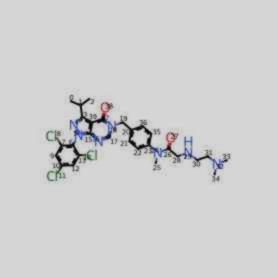 CC(C)c1nn(-c2c(Cl)cc(Cl)cc2Cl)c2ncn(Cc3ccc(N(C)C(=O)CNCCN(C)C)cc3)c(=O)c12